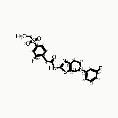 CCS(=O)(=O)c1ccc(CC(=O)Nc2nc3c(s2)CN(c2cccc(F)c2)CC3)c(F)c1